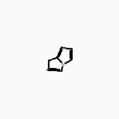 [C]1=Cn2cccc2C1